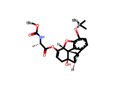 C[C@H](NC(=O)OC(C)(C)C)C(=O)OC1=CC[C@@]2(O)[C@@H]3CCC[C@@]24c2c(ccc(O[Si](C)(C)C(C)(C)C)c2O[C@@H]14)C3